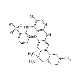 COc1cc2c(cc1Nc1ncc(Cl)c(Nc3ccccc3S(=O)(=O)C(C)C)n1)C1CN(C)CCN1CC2(C)C